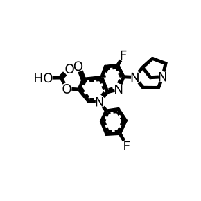 O=C(O)Oc1cn(-c2ccc(F)cc2)c2nc(N3CCN4CCC3C4)c(F)cc2c1=O